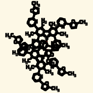 Cc1ccc(-c2cccc(-c3c(C)c(-c4cccc(-c5ccc(C)o5)n4)c4c(c3C)c3c(C)c(-c5cccc(-c6ccc(C)o6)n5)c(C)c(-c5cccc(-c6ccc(C)o6)n5)c3n4CCCCCn3c4c(-c5cccc(-c6ccc(C)o6)n5)c(C)c(-c5cccc(-c6ccc(C)o6)n5)c(C)c4c4c(C)c(-c5cccc(-c6ccc(C)o6)n5)c(C)c(-c5cccc(-c6ccc(C)o6)n5)c43)n2)o1